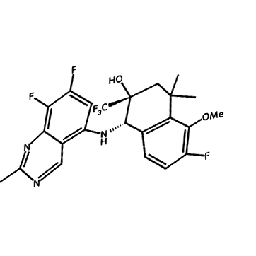 COc1c(F)ccc2c1C(C)(C)C[C@](O)(C(F)(F)F)[C@H]2Nc1cc(F)c(F)c2nc(C)ncc12